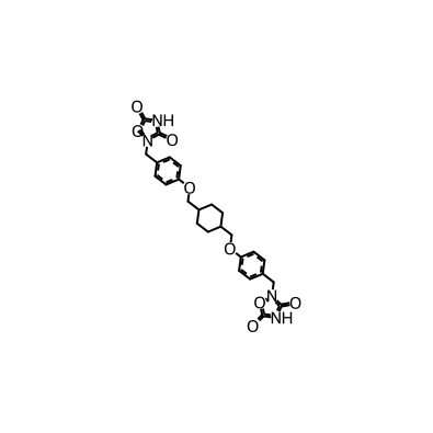 O=c1[nH]c(=O)n(Cc2ccc(OCC3CCC(COc4ccc(Cn5oc(=O)[nH]c5=O)cc4)CC3)cc2)o1